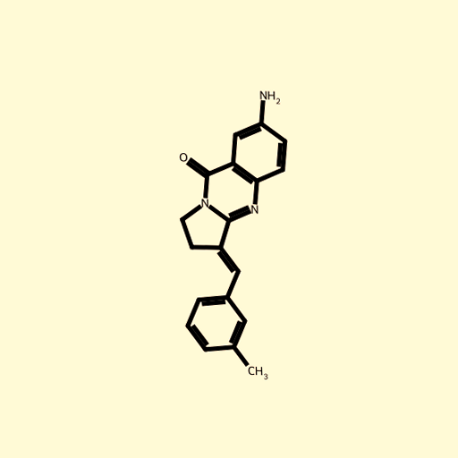 Cc1cccc(C=C2CCn3c2nc2ccc(N)cc2c3=O)c1